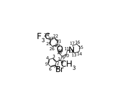 CC(c1ccccc1Br)C(CCN1CCCCC1)COc1ccc(C(F)(F)F)cc1